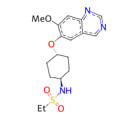 CCS(=O)(=O)N[C@H]1CC[C@H](Oc2cc3cncnc3cc2OC)CC1